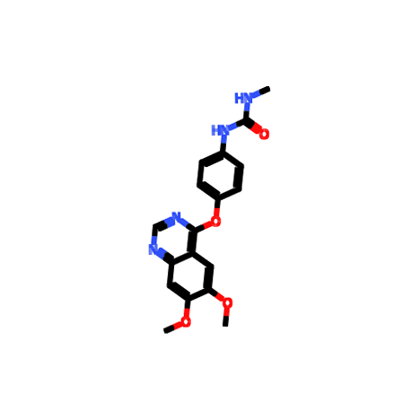 CNC(=O)Nc1ccc(Oc2ncnc3cc(OC)c(OC)cc23)cc1